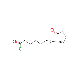 O=C(Cl)CCCCCCC1=CCCC1=O